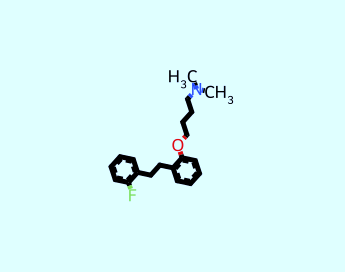 CN(C)CCCCOc1ccccc1CCc1ccccc1F